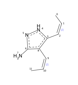 C/C=C\c1[nH]nc(N)c1/C=C\C